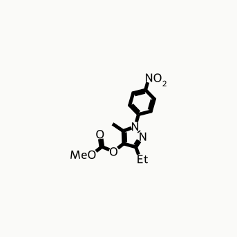 CCc1nn(-c2ccc([N+](=O)[O-])cc2)c(C)c1OC(=O)OC